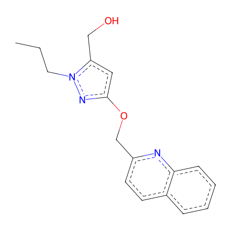 CCCn1nc(OCc2ccc3ccccc3n2)cc1CO